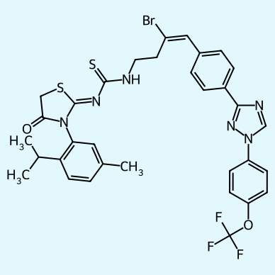 Cc1ccc(C(C)C)c(N2C(=O)CS/C2=N\C(=S)NCC/C(Br)=C\c2ccc(-c3ncn(-c4ccc(OC(F)(F)F)cc4)n3)cc2)c1